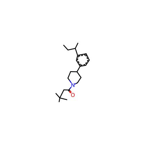 CCC(C)c1cccc(C2CCN(C(=O)CC(C)(C)C)CC2)c1